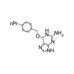 CCCc1ccc(COC2NC(N)=Nc3[nH]cnc32)cc1